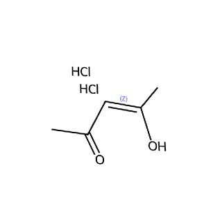 CC(=O)/C=C(/C)O.Cl.Cl